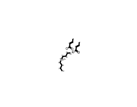 CC=CC(=O)[O-].CC=CC(=O)[O-].CCC[CH2][Sn+2][CH2]CCC